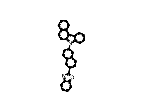 c1ccc2c(c1)ccc1c2c2ccccc2n1-c1ccc2cc(-c3nc4ccccc4o3)ccc2c1